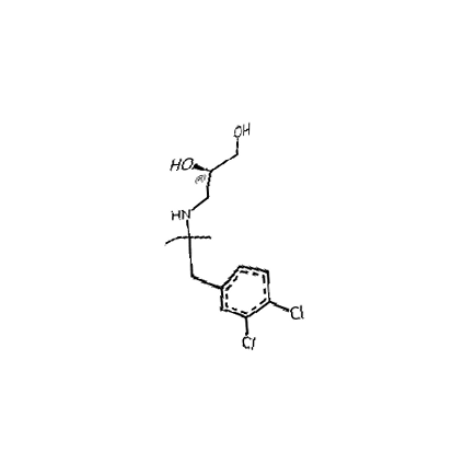 CC(C)(Cc1ccc(Cl)c(Cl)c1)NC[C@@H](O)CO